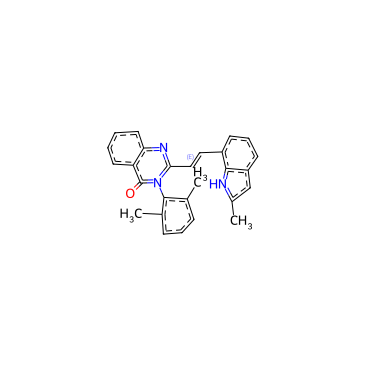 Cc1cc2cccc(/C=C/c3nc4ccccc4c(=O)n3-c3c(C)cccc3C)c2[nH]1